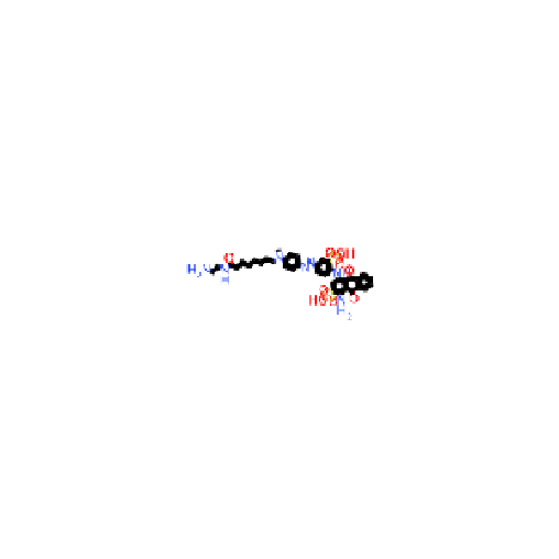 CN(CCCCCCCC(=O)NCCN)c1ccc(/N=N/c2ccc(Nc3cc(S(=O)(=O)O)c(N)c4c3C(=O)c3ccccc3C4=O)c(S(=O)(=O)O)c2)cc1